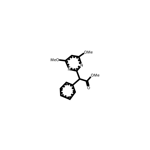 COC(=O)C(c1ccccc1)c1nc(OC)cc(OC)n1